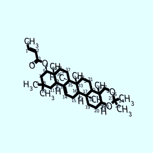 C/C=C/C(=O)O[C@@H]1CC(C)(C)C[C@@H]2C3=CC[C@@H]4[C@@]5(C)CC[C@@H]6OC(C)(C)OC[C@@]6(C)C5CC[C@@]4(C)[C@]3(C)CC[C@]21C